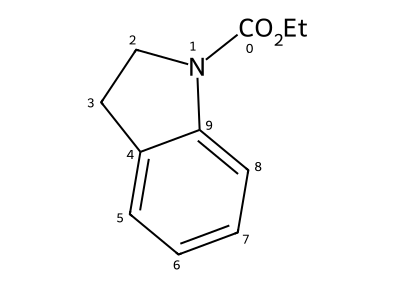 CCOC(=O)N1CCc2ccccc21